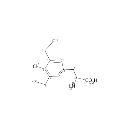 NC(Cc1cc(CF)c(Cl)c(CF)c1)C(=O)O